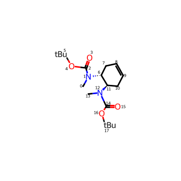 CN(C(=O)OC(C)(C)C)[C@@H]1CC=CC[C@H]1N(C)C(=O)OC(C)(C)C